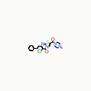 CN1CCN(C(=O)c2cn3c(=O)c(Cl)c(/C=C/c4ccccc4)nc3s2)CC1